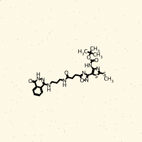 CSc1nc(NC(=O)OC(C)(C)C)c(-c2noc(CCC(=O)NCCCNc3n[nH]c(=O)c4ccccc34)n2)s1